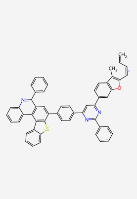 C=C/C=C\c1oc2cc(-c3cc(-c4ccc(-c5cc6c(-c7ccccc7)nc7ccccc7c6c6c5sc5ccccc56)cc4)nc(-c4ccccc4)n3)ccc2c1C